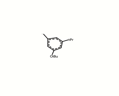 [CH2]c1cc(CCC)cc(OCC(C)C)c1